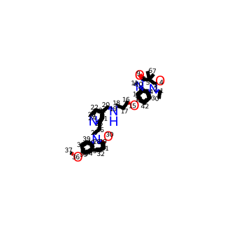 CCN1C(=O)C(C)(C)C(=O)N(C)c2cc(OCCCNCc3ccnc(CCn4c(=O)ccc5cc(OC)ccc54)c3)ccc21